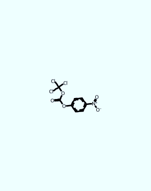 O=C(Oc1ccc([N+](=O)[O-])cc1)OC(Cl)(Cl)Cl